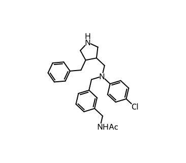 CC(=O)NCc1cccc(CN(CC2CNCC2Cc2ccccc2)c2ccc(Cl)cc2)c1